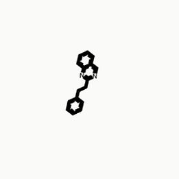 c1ccc(CCc2ncc3ccccc3n2)cc1